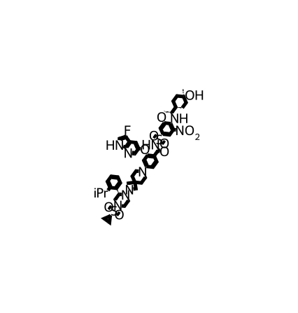 CC(C)c1ccccc1[C@H]1CN(S(=O)(=O)C2CC2)CCN1N1CC2(CCN(c3ccc(C(=O)NS(=O)(=O)c4cc5c(c([N+](=O)[O-])c4)N[C@@H]([C@H]4CC[C@](C)(O)CC4)CO5)c(Oc4cnc5[nH]cc(F)c5c4)c3)CC2)C1